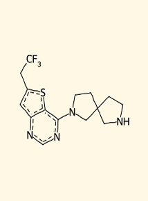 FC(F)(F)Cc1cc2ncnc(N3CCC4(CCNC4)C3)c2s1